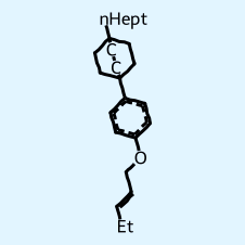 CCC=CCOc1ccc(C23CCC(CCCCCCC)(CC2)CC3)cc1